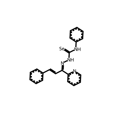 [Se]=C(NN=C(C=Cc1ccccc1)c1ccccn1)Nc1ccccc1